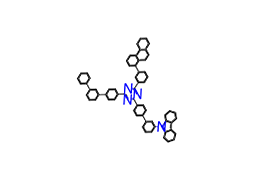 c1ccc(-c2cccc(-c3ccc(-c4nc(-c5ccc(-c6cccc(-n7c8ccccc8c8ccccc87)c6)cc5)nc(-c5cccc(-c6cccc7c6ccc6ccccc67)c5)n4)cc3)c2)cc1